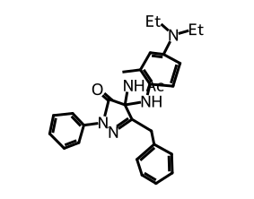 CCN(CC)c1ccc(NC2(NC(C)=O)C(=O)N(c3ccccc3)N=C2Cc2ccccc2)c(C)c1